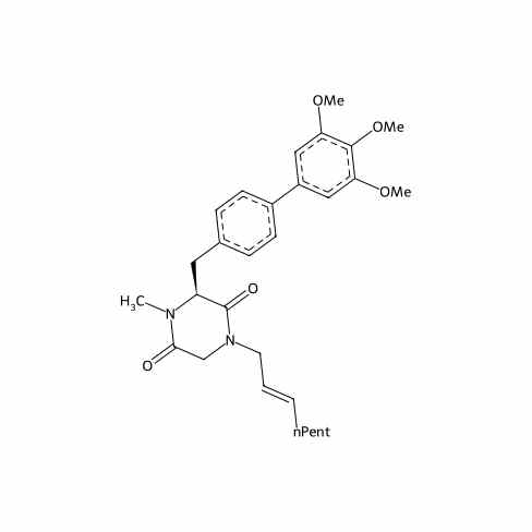 CCCCCC=CCN1CC(=O)N(C)[C@@H](Cc2ccc(-c3cc(OC)c(OC)c(OC)c3)cc2)C1=O